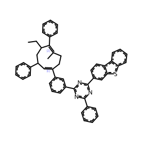 CCC1CC(c2ccccc2)/C=C(/c2cccc(-c3nc(-c4ccccc4)nc(-c4ccc5c(c4)sc4ccccc45)n3)c2)CC/C(C)=C/1c1ccccc1